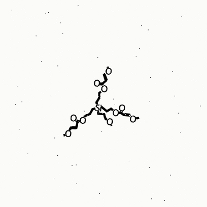 COC=CC(=O)OCCC[Si](CCCOC)(CCCOC(=O)C=COC)CCCOC(=O)C=COC